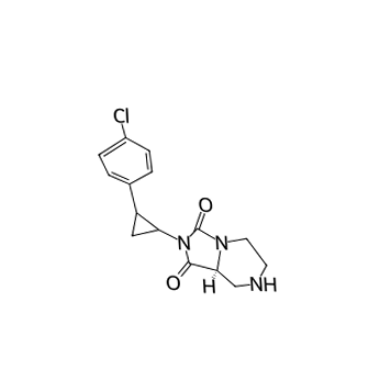 O=C1[C@@H]2CNCCN2C(=O)N1C1CC1c1ccc(Cl)cc1